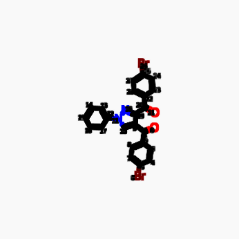 O=C(c1ccc(Br)cc1)c1cn(-c2ccccc2)nc1C(=O)c1ccc(Br)cc1